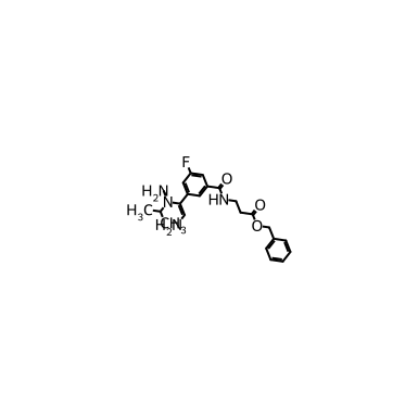 CC(C)N(N)/C(=C\N)c1cc(F)cc(C(=O)NCCC(=O)OCc2ccccc2)c1